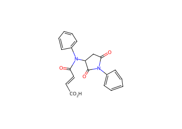 O=C(O)C=CC(=O)N(c1ccccc1)C1CC(=O)N(c2ccccc2)C1=O